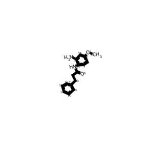 COc1ccc(NC(=O)CCc2ccccc2)c(N)c1